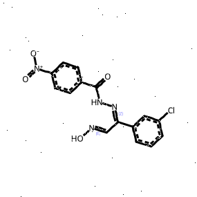 O=C(N/N=C(\C=N\O)c1cccc(Cl)c1)c1ccc([N+](=O)[O-])cc1